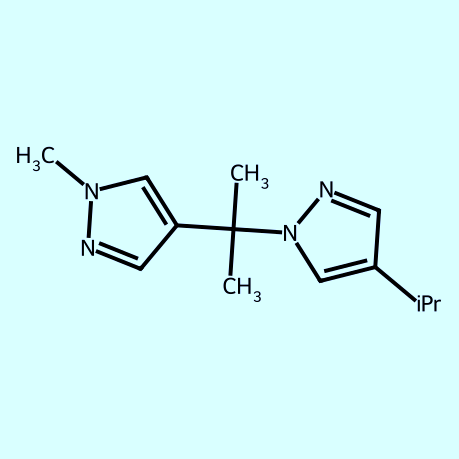 CC(C)c1cnn(C(C)(C)c2cnn(C)c2)c1